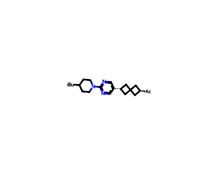 CCC(C)C1CCN(c2ncc([C@H]3CC4(C[C@H](C(C)=O)C4)C3)cn2)CC1